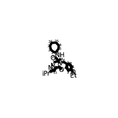 CCOc1ccc(CN2C(=O)c3cc(C(C)C)nn3CC2(C)C(=O)NC2CCCCCCC2)cc1